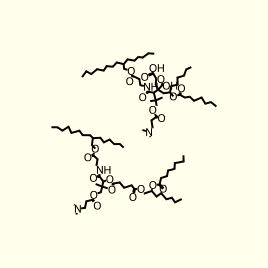 CCCCCCCCC(CCCCCC)COC(=O)CCNC(=O)C(C(C)(C)COC(=O)CCN(C)C)C(CCC(=O)O)(CC(CCCCCC)OC(=O)CCCCCCC)C(=O)O.CCCCCCCCC(CCCCCC)COC(=O)CCNC(=O)C(OC(=O)CCCC(=O)OCC(CCCCCC)OC(=O)CCCCCCC)C(C)(C)COC(=O)CCN(C)C